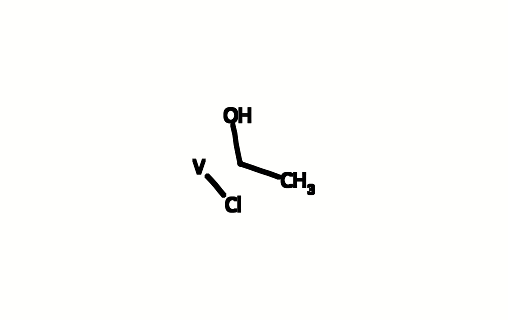 CCO.[Cl][V]